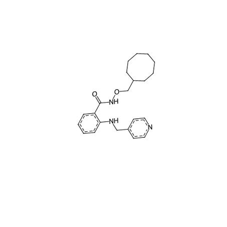 O=C(NOCC1CCCCCCC1)c1ccccc1NCc1ccncc1